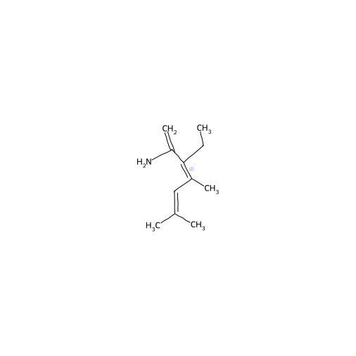 C=C(N)/C(CC)=C(/C)C=C(C)C